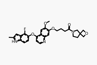 COc1cc2c(Oc3ccc4[nH]c(C)cc4c3F)ccnc2cc1OCCCC(=O)N1CCC2(COC2)C1